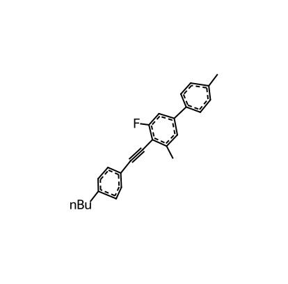 CCCCc1ccc(C#Cc2c(C)cc(-c3ccc(C)cc3)cc2F)cc1